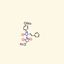 COc1ccc(N2C(=O)C(N3C(=O)CC(OC(C)=O)C3=O)C2C=Cc2ccccc2)cc1